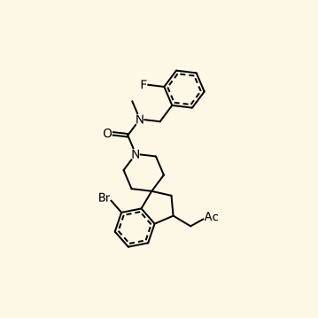 CC(=O)CC1CC2(CCN(C(=O)N(C)Cc3ccccc3F)CC2)c2c(Br)cccc21